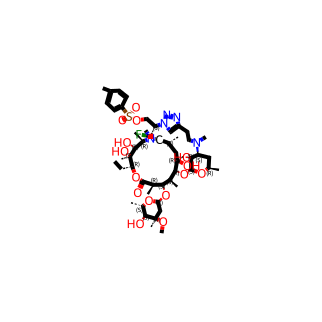 CC[C@H]1OC(=O)[C@H](C)[C@@H](O[C@H]2C[C@@](C)(OC)[C@@H](O)[C@H](C)O2)[C@H](C)[C@@H](O[C@@H]2O[C@H](C)C[C@H](N(C)CCc3cn([C@H](CF)COS(=O)(=O)c4ccc(C)cc4)nn3)[C@H]2O)[C@](C)(O)C[C@@H](C)CN(C)[C@H](C)[C@@H](O)[C@]1(C)O